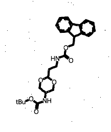 CC(C)(C)OC(=O)NC1COC(CCNC(=O)OCC2c3ccccc3-c3ccccc32)OC1